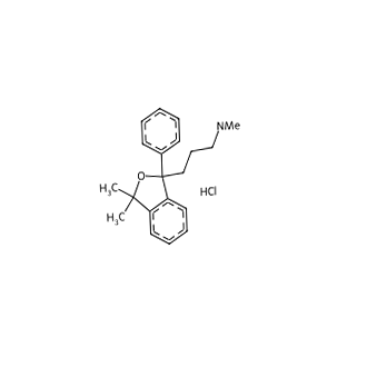 CNCCCC1(c2ccccc2)OC(C)(C)c2ccccc21.Cl